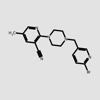 Cc1cnc(N2CCN(Cc3ccc(Br)nc3)CC2)c(C#N)c1